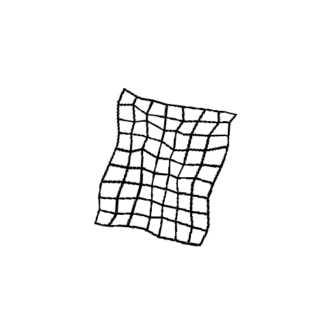 C1C2C3C4C5C6C7CC8C9C%10C%11C%12C%13C%14C%15CC%16C%17C%18C%19C%20C%21CC%22C%23C%24C%25C%26C%27C%28C1C21C32C43C54C65C78C96C%107C%118C%129C%13%10C%14%11C%16%15C%17%12C%18%13C%19%14C%20%15C%21%22C%23%16C%24%17C%25%18C%26%19C%27%20C%281C21C32C43C56C74C85C96C%107C%12%11C%138C%149C%15%16C%17%10C%18%11C%19%12C%201C21C34C52C%121C%111C9%10C87C621